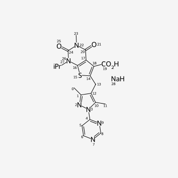 Cc1nn(-c2ccncn2)c(C)c1Cc1sc2c(c1C(=O)O)c(=O)n(C)c(=O)n2C(C)C.[NaH]